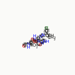 CC1(C)CCC(CN2CCN(c3ccc(C(=O)NS(=O)(=O)c4ccc(NCC5CCOCC5)c([N+](=O)[O-])c4)c(N4CCCCOc5nc6[nH]ccc6cc54)c3)CC2)=C(c2ccc(Cl)cc2)C1